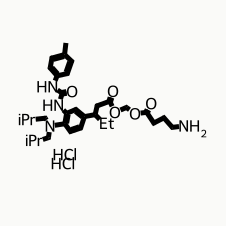 CCC(CC(=O)OCOC(=O)CCCN)c1ccc(N(CC(C)C)CC(C)C)c(NC(=O)Nc2ccc(C)cc2)c1.Cl.Cl